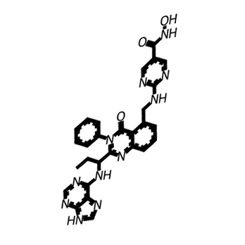 CCC(Nc1ncnc2[nH]cnc12)c1nc2cccc(CNc3ncc(C(=O)NO)cn3)c2c(=O)n1-c1ccccc1